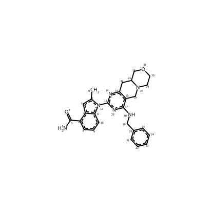 Cc1cc2c(C(N)=O)cccc2n1-c1nc2c(c(NCc3ccccc3)n1)CN1CCOCC1C2